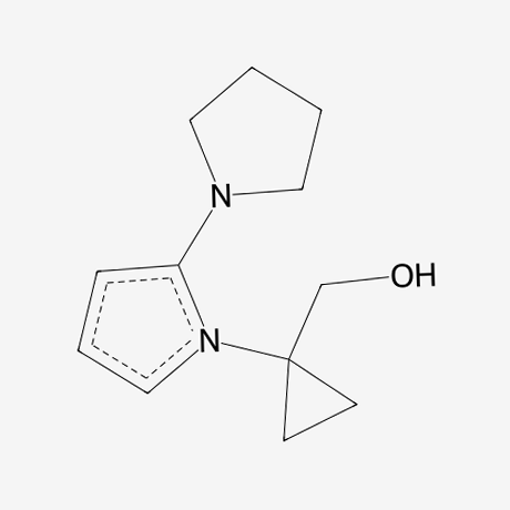 OCC1(n2cccc2N2CCCC2)CC1